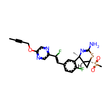 CC#CCOc1cnc(C(F)=Cc2ccc(F)c([C@@]3(C)N=C(N)S[C@@]4(S(C)(=O)=O)C[C@H]43)c2)cn1